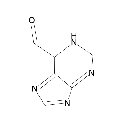 O=CC1NCN=C2N=CN=C21